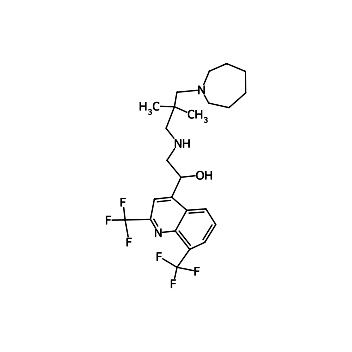 CC(C)(CNCC(O)c1cc(C(F)(F)F)nc2c(C(F)(F)F)cccc12)CN1CCCCCC1